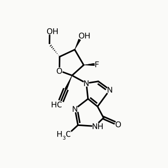 C#C[C@@]1(n2cnc3c(=O)[nH]c(C)nc32)O[C@H](CO)[C@@H](O)[C@H]1F